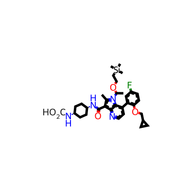 Cc1c(C(=O)N[C@H]2CC[C@@H](NC(=O)O)CC2)c2nccc(-c3cc(F)ccc3OCC3CC3)c2n1C(C)OCC[Si](C)(C)C